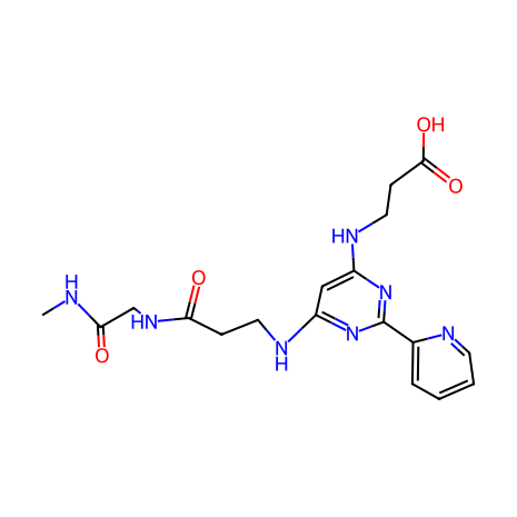 CNC(=O)CNC(=O)CCNc1cc(NCCC(=O)O)nc(-c2ccccn2)n1